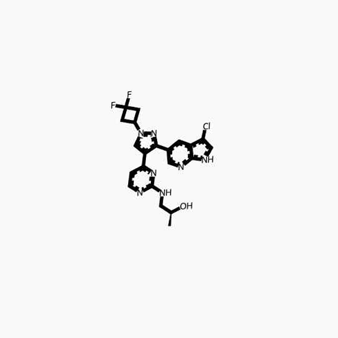 C[C@H](O)CNc1nccc(-c2cn(C3CC(F)(F)C3)nc2-c2cnc3[nH]cc(Cl)c3c2)n1